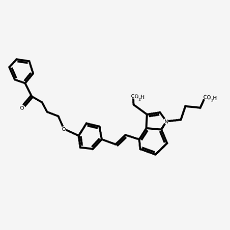 O=C(O)CCCn1cc(CC(=O)O)c2c(/C=C/c3ccc(OCCCC(=O)c4ccccc4)cc3)cccc21